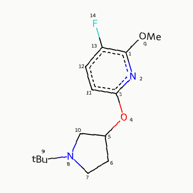 COc1nc(OC2CCN(C(C)(C)C)C2)ccc1F